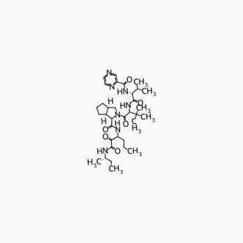 CCCC(NC(=O)C1[C@H]2CCC[C@H]2CN1C(=O)C(NC(=O)[C@H](NC(=O)c1cnccn1)C(C)C)C(C)(C)C)C(=O)C(=O)N[C@@H](C)CC